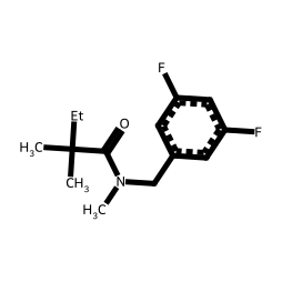 CCC(C)(C)C(=O)N(C)Cc1cc(F)cc(F)c1